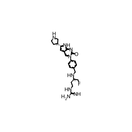 N=C(N)NCC[C@H](CF)NCc1ccc(-n2cc3cc([C@@H]4CCNC4)[nH]c3nc2=O)cc1